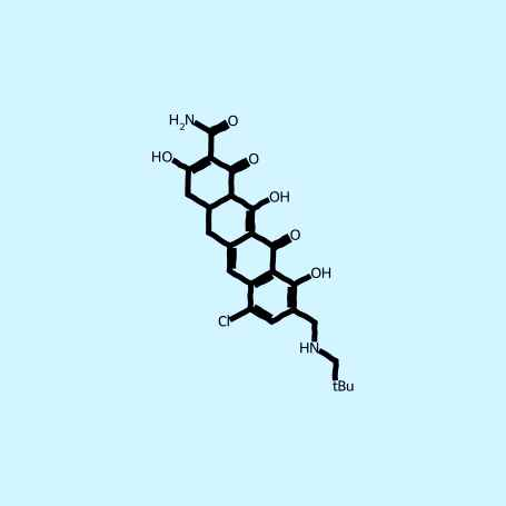 CC(C)(C)CNCc1cc(Cl)c2c(c1O)C(=O)C1=C(O)C3C(=O)C(C(N)=O)=C(O)CC3CC1=C2